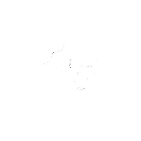 CCC(=O)N(C)C.O=C(O)CC(O)(CC(=O)O)C(=O)O